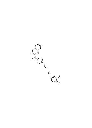 CN(C1=Nc2ccccc2CS1)C1CCN(CCCCOCc2ccc(F)c(F)c2)CC1